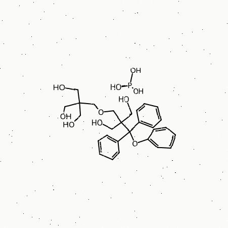 OCC(CO)(CO)COCC(CO)(CO)C(Oc1ccccc1)(c1ccccc1)c1ccccc1.OP(O)O